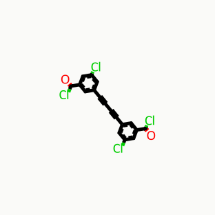 O=C(Cl)c1cc(Cl)cc(C#CC#Cc2cc(Cl)cc(C(=O)Cl)c2)c1